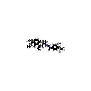 C/C=C\N(C)C(Nc1ccc(C(=O)NC)c(CO)c1)/C(C)=N/C=C(\C)c1ccc(NC(F)F)cc1